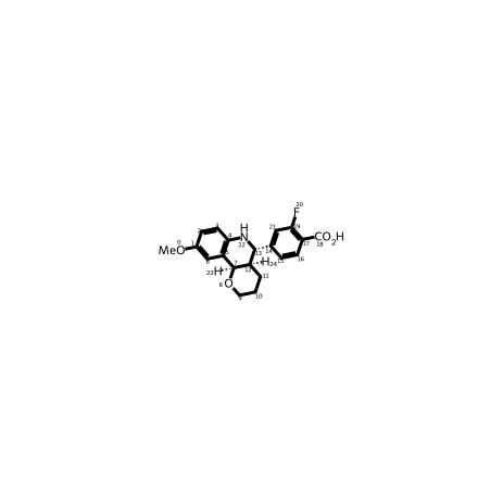 COc1ccc2c(c1)[C@@H]1OCCC[C@@H]1[C@@H](c1ccc(C(=O)O)c(F)c1)N2